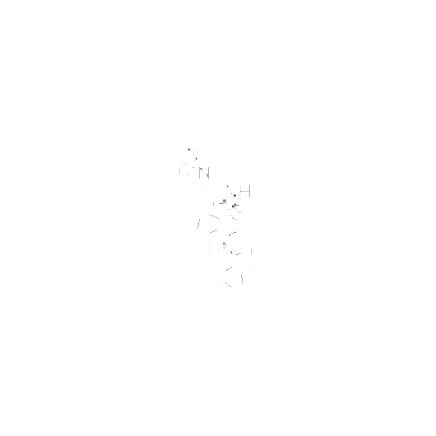 Cc1ccccc1C(=O)Nc1ccc(S(=O)(=O)NC2CCN(C(=O)N(C)C)CC2)c2ccccc12